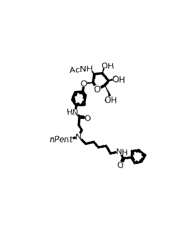 CCCCCN(CCCCCNC(=O)c1ccccc1)CCC(=O)Nc1ccc(O[C@@H]2O[C@H](CO)[C@H](O)[C@H](O)[C@@H]2NC(C)=O)cc1